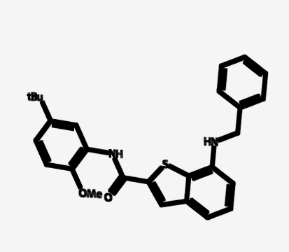 COc1ccc(C(C)(C)C)cc1NC(=O)c1cc2cccc(NCc3ccccc3)c2s1